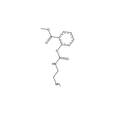 COC(=O)c1ccccc1OC(=O)NCCN